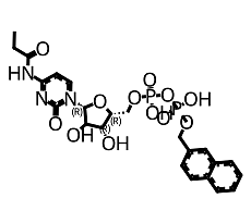 CCC(=O)Nc1ccn([C@@H]2O[C@H](COP(=O)(O)OP(=O)(O)OCc3ccc4ccccc4c3)[C@H](O)C2O)c(=O)n1